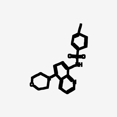 Cc1ccc(S(=O)(=O)Nc2ccc(N3CCOCC3)c3cccnc23)cc1